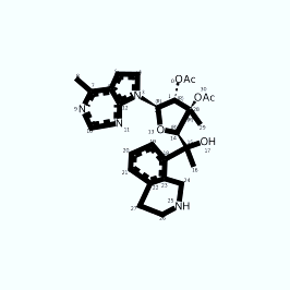 CC(=O)O[C@H]1[C@H](n2ccc3c(C)ncnc32)O[C@H](C(C)(O)c2cccc3c2CNCC3)[C@@]1(C)OC(C)=O